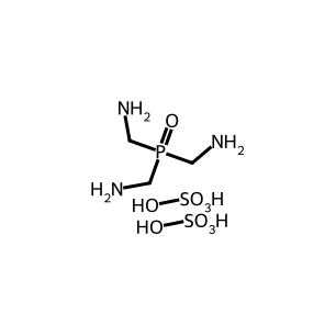 NCP(=O)(CN)CN.O=S(=O)(O)O.O=S(=O)(O)O